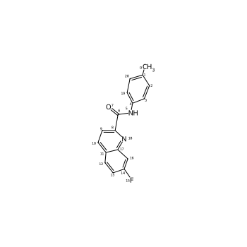 Cc1ccc(NC(=O)c2ccc3ccc(F)cc3n2)cc1